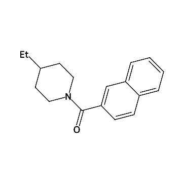 CCC1CCN(C(=O)c2ccc3ccccc3c2)CC1